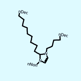 CCCCCCCCCCCCCCCCCCCC1N(CCCCCCCCC)C=CN1CCCCCCCCCCCCCC